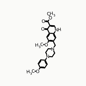 COC(=O)c1c[nH]c2cc(CN3CCN(c4ccc(OC)cc4)CC3)c(OC)cc2c1=O